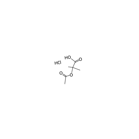 CC(=O)OC(C)(C)C(=O)O.Cl